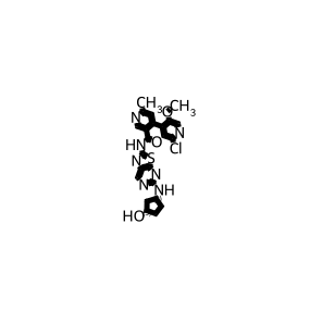 COc1cnc(Cl)cc1-c1cc(C)ncc1C(=O)Nc1nc2cnc(N[C@@H]3CC[C@H](O)C3)nc2s1